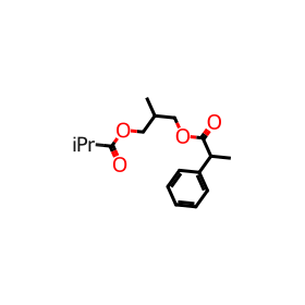 CC(COC(=O)C(C)C)COC(=O)C(C)c1ccccc1